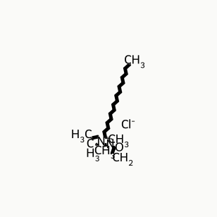 C=CC(=O)N(C)C[N+](CC)(CCCCCCCCCCCCCCCCCC)CC(C)C.[Cl-]